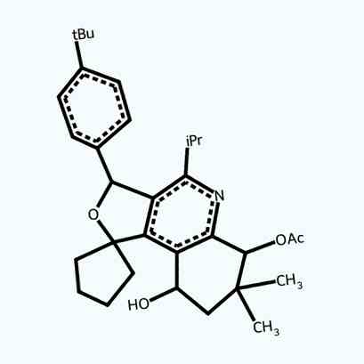 CC(=O)OC1c2nc(C(C)C)c3c(c2C(O)CC1(C)C)C1(CCCC1)OC3c1ccc(C(C)(C)C)cc1